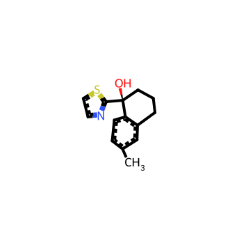 Cc1ccc2c(c1)CCC[C@@]2(O)c1nccs1